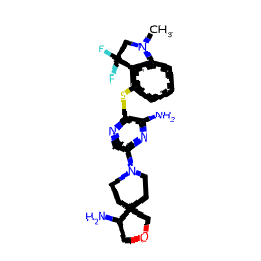 CN1CC(F)(F)c2c(Sc3ncc(N4CCC5(CC4)COCC5N)nc3N)cccc21